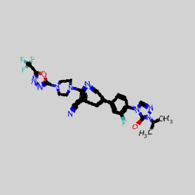 CC(C)n1ncn(-c2ccc(-c3cnc(N4CCN(c5nnc(C(F)(F)F)o5)CC4)c(C#N)c3)cc2F)c1=O